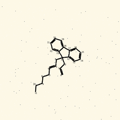 C=CCC1(CC=CCCCCC)c2ccccc2-c2ccccc21